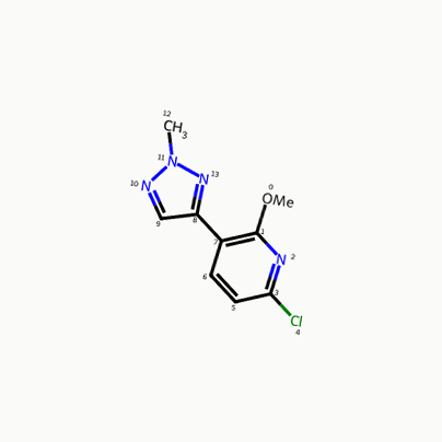 COc1nc(Cl)ccc1-c1cnn(C)n1